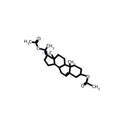 CC(=O)O/C(C)=C1\CCC2C3CC=C4CC(OC(C)=O)CCC4(C)C3CCC12C